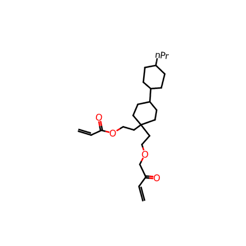 C=CC(=O)COCCC1(CCOC(=O)C=C)CCC(C2CCC(CCC)CC2)CC1